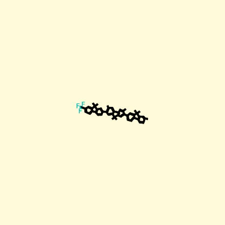 Cc1ccc2c(c1)C(C)(C)c1cc(-c3cc4c(cc3C)-c3cc(C)c(-c5ccc6c(c5)C(C)(C)c5cc(C(F)(F)F)ccc5-6)cc3C4(C)C)ccc1-2